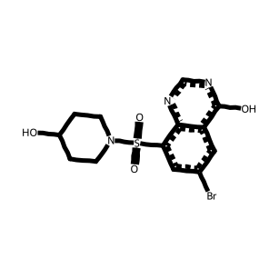 O=S(=O)(c1cc(Br)cc2c(O)ncnc12)N1CCC(O)CC1